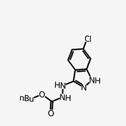 CCCCOC(=O)NNc1n[nH]c2cc(Cl)ccc12